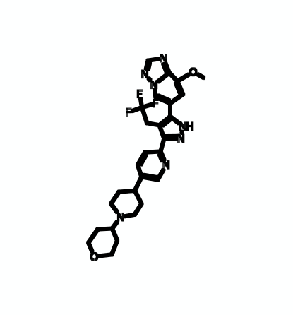 COc1cc(-c2[nH]nc(-c3ccc(C4CCN(C5CCOCC5)CC4)cn3)c2CC(F)(F)F)cn2ncnc12